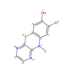 CN1c2cc(Cl)c(O)cc2Sc2nccnc21